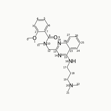 COc1ccccc1C(=O)N(C)Cc1nc(NCCCN(C)C)c2ccccc2n1